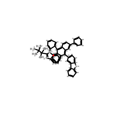 BC(B)(B)C(B)(B)c1nc2ccccc2n1-c1ccccc1-c1c2ccccc2c(-c2ccc3sc4ccccc4c3c2)c2cc(-c3ccccc3)ccc12